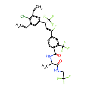 C=Cc1cc([C@@H](/C=C(\F)c2ccc(C(=O)N[C@H](C)C(=O)NCC(F)(F)F)c(C(F)(F)F)c2)C(F)(F)F)cc(C=C)c1Cl